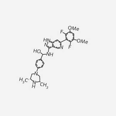 COc1cc(OC)c(F)c(-c2cc3[nH]nc(NC(O)c4ccc(N5C[C@@H](C)N[C@@H](C)C5)cc4)c3cn2)c1F